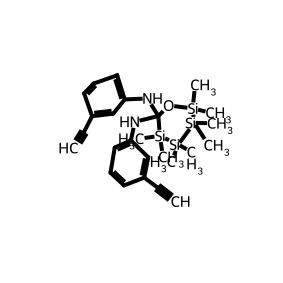 C#Cc1cccc(NC2(Nc3cccc(C#C)c3)O[Si](C)(C)[Si](C)(C)[Si](C)(C)[Si]2(C)C)c1